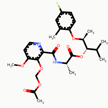 COc1ccnc(C(=O)N[C@@H](C)C(=O)O[C@@H](C(C)C)[C@H](C)Oc2ccc(F)cc2C)c1OCOC(C)=O